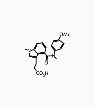 COc1ccc(N(C)C(=O)c2cccc3c2c(CCC(=O)O)cn3C)cc1